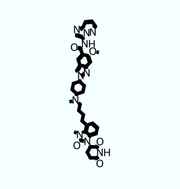 COc1cc2nn(C3CCC(N(C)CCCCc4cccc5c4n(C)c(=O)n5C4CCC(=O)NC4=O)CC3)cc2cc1C(=O)Nc1cnc2cccnn12